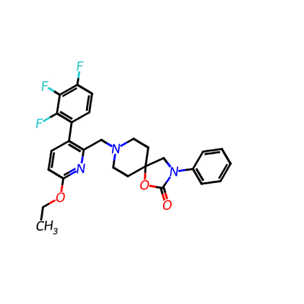 CCOc1ccc(-c2ccc(F)c(F)c2F)c(CN2CCC3(CC2)CN(c2ccccc2)C(=O)O3)n1